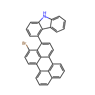 Brc1ccc2c3cccc4cccc(c5ccc(-c6cccc7[nH]c8ccccc8c67)c1c25)c43